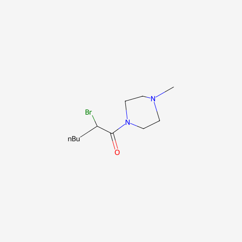 CCCCC(Br)C(=O)N1CCN(C)CC1